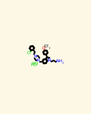 Cl.Cl.NCCCn1cc(-c2ccc(OC(F)(F)F)cc2)c2cc(CN3CCN(CCc4ccccc4Cl)CC3)ccc21